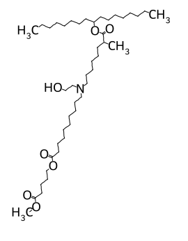 CCCCCCCCC(CCCCCCCC)OC(=O)C(C)CCCCCCN(CCO)CCCCCCCCCC(=O)OCCCCC(=O)OC